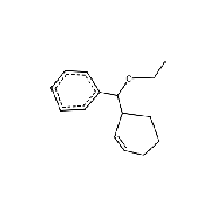 CCOC(c1ccccc1)C1C=CCCC1